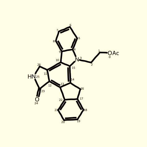 CC(=O)OCCn1c2ccccc2c2c3c(c4c(c21)Cc1ccccc1-4)C(=O)NC3